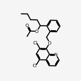 CCCCC(OC(C)=O)c1ccccc1COc1c(Cl)cc(Cl)c2cccnc12